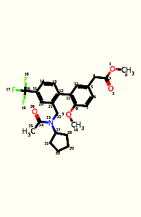 COC(=O)Cc1ccc(OC)c(-c2ccc(C(F)(F)F)cc2CN(C(C)=O)C2CCCC2)c1